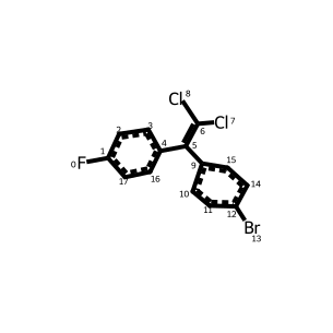 Fc1ccc(C(=C(Cl)Cl)c2ccc(Br)cc2)cc1